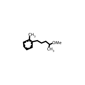 COC(C)CCCc1ccccc1C